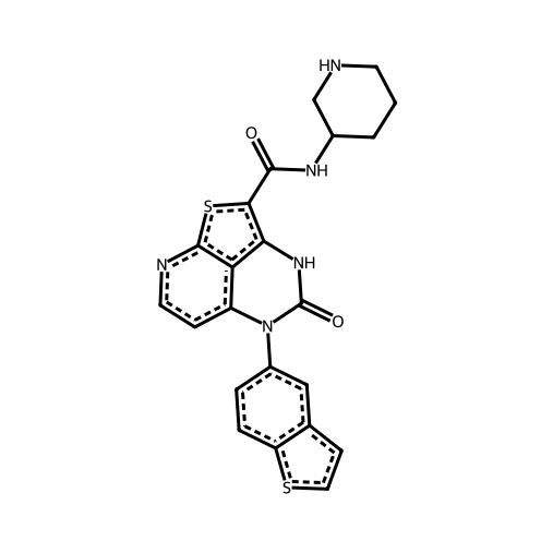 O=C(NC1CCCNC1)c1sc2nccc3c2c1NC(=O)N3c1ccc2sccc2c1